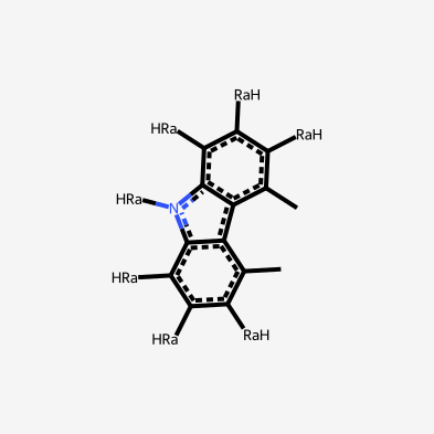 Cc1[c]([RaH])[c]([RaH])[c]([RaH])c2c1c1c(C)[c]([RaH])[c]([RaH])[c]([RaH])c1[n]2[RaH]